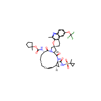 Cc1nc2ccc(OC(F)(F)F)cc2c2c1O[C@]1(CC2)C[C@H]2C(=O)N[C@]3(C(=O)NS(=O)(=O)C4(C)CC4)C[C@H]3/C=C\CCCCC[C@H](NC(=O)OC3(C)CCCC3)C(=O)N2C1